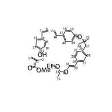 C=C(C)C(=O)OC.C=Cc1ccc(O)cc1.C=Cc1ccc(OC(C)(C)Cc2ccc(C=COC(C)OCC)cc2)cc1